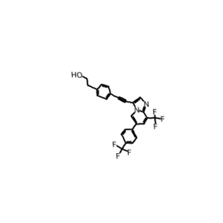 OCCc1ccc(C#Cc2cnc3c(C(F)(F)F)cc(-c4ccc(C(F)(F)F)cc4)cn23)cc1